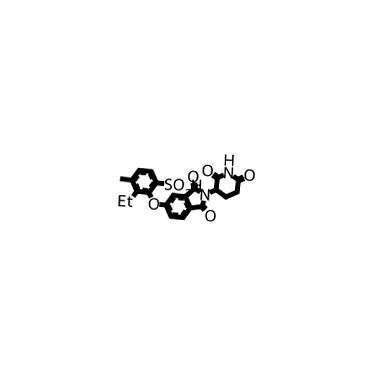 CCc1c(C)ccc(S(=O)(=O)O)c1Oc1ccc2c(c1)C(=O)N(C1CCC(=O)NC1=O)C2=O